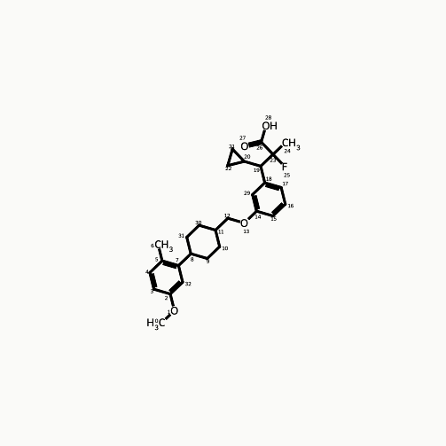 COc1ccc(C)c(C2CCC(COc3cccc(C(C4CC4)C(C)(F)C(=O)O)c3)CC2)c1